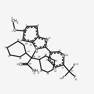 COc1ccc2nc(-c3ccc(C(F)(F)F)nc3)n(C(C(N)=O)(C3CCCCC3)C3CCCCC3)c2c1